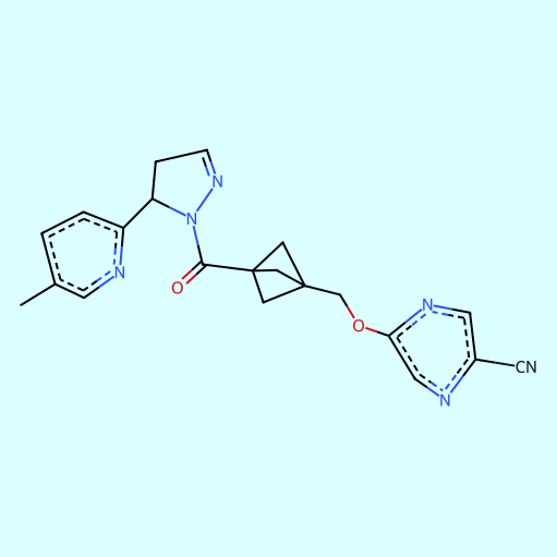 Cc1ccc(C2CC=NN2C(=O)C23CC(COc4cnc(C#N)cn4)(C2)C3)nc1